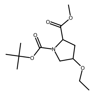 CCOC1CC(C(=O)OC)N(C(=O)OC(C)(C)C)C1